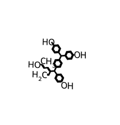 C=C/C(=C\C=C(/C)O)C(c1ccc(O)cc1)c1ccc(C(c2ccc(O)cc2)c2ccc(O)cc2)cc1